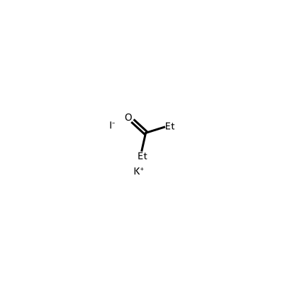 CCC(=O)CC.[I-].[K+]